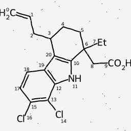 C=CCC1CCC(CC)(CC(=O)O)c2[nH]c3c(Cl)c(Cl)ccc3c21